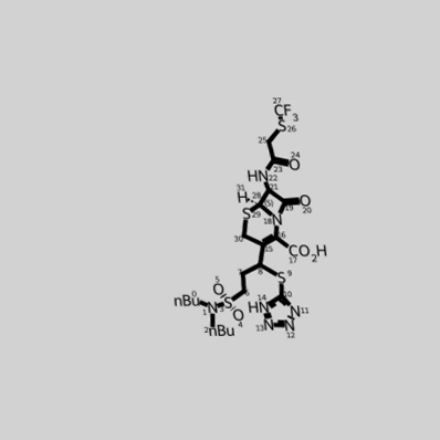 CCCCN(CCCC)S(=O)(=O)CCC(Sc1nnn[nH]1)C1=C(C(=O)O)N2C(=O)C(NC(=O)CSC(F)(F)F)[C@@H]2SC1